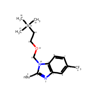 CCCCc1nc2cc(C(F)(F)F)ccc2n1COCC[Si](C)(C)C